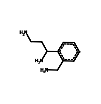 NCCC(N)c1cc[c]cc1CN